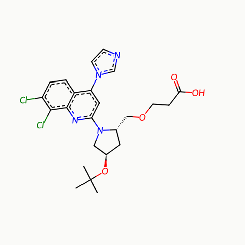 CC(C)(C)O[C@@H]1C[C@@H](COCCC(=O)O)N(c2cc(-n3ccnc3)c3ccc(Cl)c(Cl)c3n2)C1